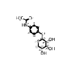 CC(=O)Nc1ccc(S[C@@H]2SC[C@@H](O)[C@H](O)[C@H]2O)cc1